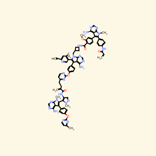 C#Cc1cc(C)c(-c2c(-c3ccc(Oc4nccc(CCC(=C)C(=O)Nc5cnn(C)c5-c5c(-c6ccc(Oc7nccc(C)n7)cc6)c6c(N)ncnc6n5C)n4)cc3)c3c(N)ncnc3n2CC2CC(NC(=O)c3ccc(-c4c(-c5ccc(NC(=O)C=C)cc5)n(C)c5ncnc(N)c45)cc3OC)C2)cn1